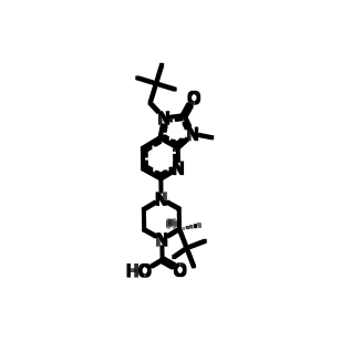 Cn1c(=O)n(CC(C)(C)C)c2ccc(N3CCN(C(=O)O)[C@](C)(C(C)(C)C)C3)nc21